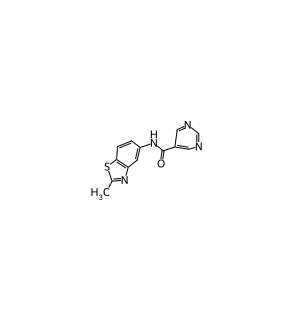 Cc1nc2cc(NC(=O)c3cncnc3)ccc2s1